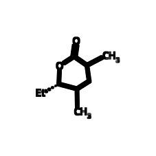 CC[C@@H]1OC(=O)C(C)CC1C